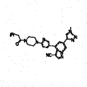 CC(C)CC(=O)N1CCN(c2ccc(-c3cc(-c4cn(C)nn4)cn4ncc(C#N)c34)cn2)CC1